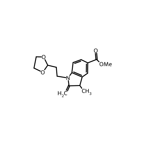 C=C1C(C)c2cc(C(=O)OC)ccc2N1CCC1OCCO1